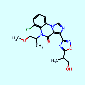 COCC(C)n1c(=O)c2c(-c3noc(C(C)CO)n3)ncn2c2cccc(Cl)c21